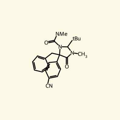 CNC(=O)N1C(C(C)(C)C)N(C)C(=O)C1(Cc1ccccc1)c1ccc(C#N)cc1